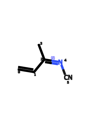 C=C/C(C)=N\C#N